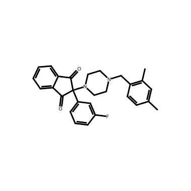 Cc1ccc(CN2CCN(C3(c4cccc(F)c4)C(=O)c4ccccc4C3=O)CC2)c(C)c1